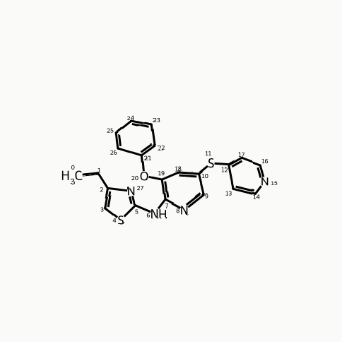 CCc1csc(Nc2ncc(Sc3ccncc3)cc2Oc2ccccc2)n1